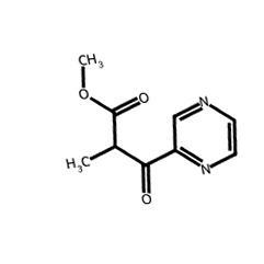 COC(=O)C(C)C(=O)c1cnccn1